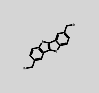 BrCc1ccc2sc3c4cc(CBr)ccc4sc3c2c1